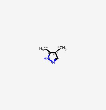 CC1NN=C[C@@H]1C